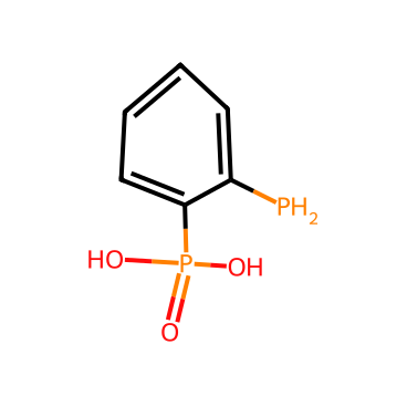 O=P(O)(O)c1ccccc1P